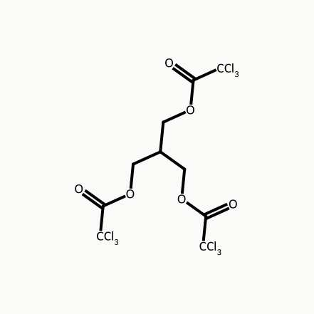 O=C(OCC(COC(=O)C(Cl)(Cl)Cl)COC(=O)C(Cl)(Cl)Cl)C(Cl)(Cl)Cl